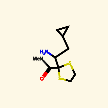 CNC(=O)C1(C(N)CC2CC2)SCCS1